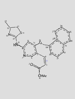 COC(=O)/C=C\c1cnc(NC2=NC(C)CS2)cc1Oc1cccc2ccccc12